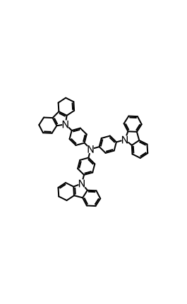 C1=Cc2c(c3c(n2-c2ccc(N(c4ccc(-n5c6c(c7ccccc75)CCC=C6)cc4)c4ccc(-n5c6ccccc6c6ccccc65)cc4)cc2)C=CCC3)CC1